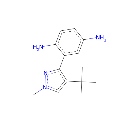 Cn1cc(C(C)(C)C)c(-c2cc(N)ccc2N)n1